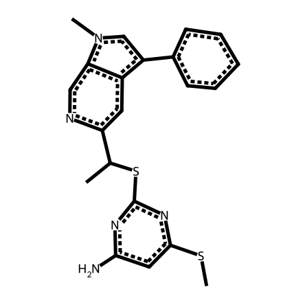 CSc1cc(N)nc(SC(C)c2cc3c(-c4ccccc4)cn(C)c3cn2)n1